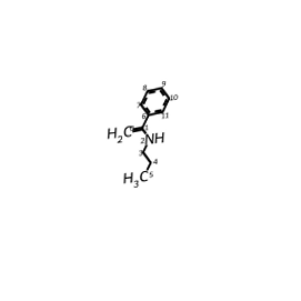 C=C(NCCC)c1ccccc1